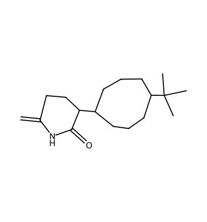 C=C1CCC(C2CCCC(C(C)(C)C)CCC2)C(=O)N1